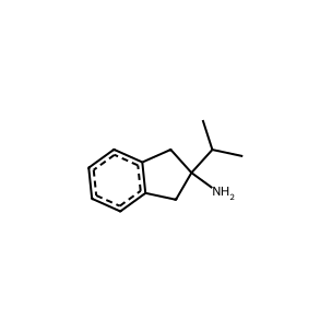 CC(C)C1(N)Cc2ccccc2C1